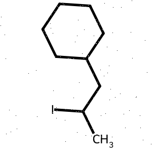 CC(I)CC1CCCCC1